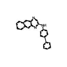 c1ccc(-c2ccc(Nc3cnc4cc5ccccc5cc4n3)cc2)cc1